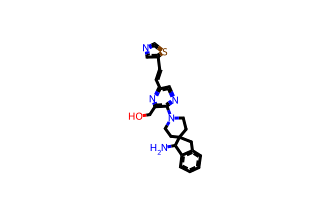 NC1c2ccccc2CC12CCN(c1ncc(C=Cc3cncs3)nc1CO)CC2